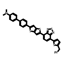 CC(C)Cc1ccc(-c2ccc(-c3cc4sc(-c5ccc(-c6ccc(N(C)C)cc6)cc5)cc4s3)c3nsnc23)s1